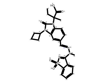 CCC(C)(C(=O)O)n1c(=O)n(C2CCC2)c2cc(/C=N/N(C)C3=NS(=O)(=O)c4ccccc43)ccc21